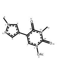 CC(=O)On1cc(-c2cnn(C)c2)c(=O)n(C)c1=O